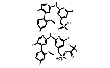 COc1cc(F)ccc1-c1cc(Nc2cc(CS(C)(=N)=O)cc(F)n2)ncc1F.COc1cc(F)ccc1-c1cc(Nc2cc(C[SH](C)(O)=NC(=O)C(F)(F)F)cc(F)n2)ncc1F